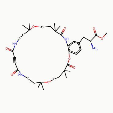 COC(=O)[C@@H](N)Cc1ccc2c(c1)NC(=O)C(C)(C)CCOC(C)(C)CCNC(=O)C#CC(=O)NCCC(C)(C)OCCC(C)(C)C(=O)O2